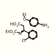 CCOC(=O)N=C(CC(=O)O)c1ccccc1Cl.CCOc1ccc(N)cc1